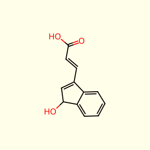 O=C(O)C=CC1=CC(O)c2ccccc21